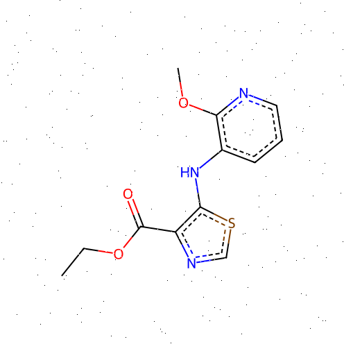 CCOC(=O)c1ncsc1Nc1cccnc1OC